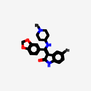 CCN1CCC(NC(=C2C(=O)Nc3ccc(C(C)=O)cc32)c2ccc3c(c2)OCO3)CC1